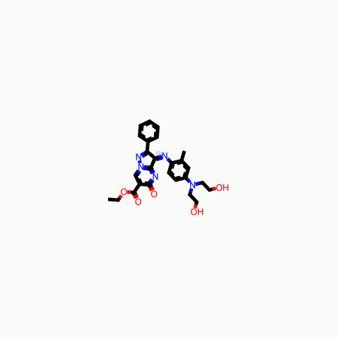 CCOC(=O)c1cn2c(nc1=O)/C(=N\c1ccc(N(CCO)CCO)cc1C)C(c1ccccc1)=N2